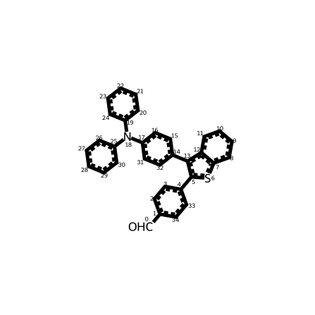 O=Cc1ccc(-c2sc3ccccc3c2-c2ccc(N(c3ccccc3)c3ccccc3)cc2)cc1